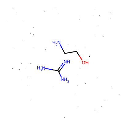 N=C(N)N.NCCO